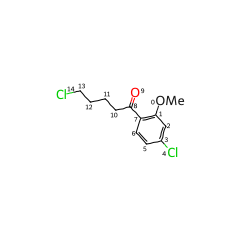 COc1cc(Cl)ccc1C(=O)CCCCCl